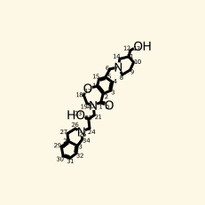 O=C1c2ccc(CN3CCCC(CO)C3)cc2OCCN1CC(O)CN1CCc2ccccc2C1